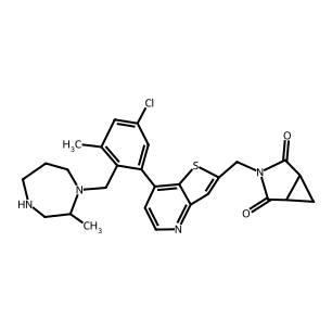 Cc1cc(Cl)cc(-c2ccnc3cc(CN4C(=O)C5CC5C4=O)sc23)c1CN1CCCNCC1C